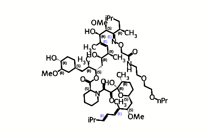 CCCOCCOCCNC(=O)CO/N=C(\[C@H](C)CC(C)C)[C@H](OC)[C@H](O)/C(C)=C/[C@@H](C)[C@H](O)C[C@H](OC(=O)[C@@H]1CCCCN1C(=O)C(=O)[C@]1(O)O[C@H](C[C@H](OC)/C(C)=C/C=C/C(C)C)CC[C@H]1C)[C@H](C)C[C@@H]1CC[C@@H](O)[C@H](OC)C1